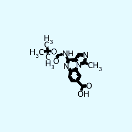 Cc1ncc2c(NC(=O)OC(C)(C)C)nc3ccc(C(=O)O)cc3n12